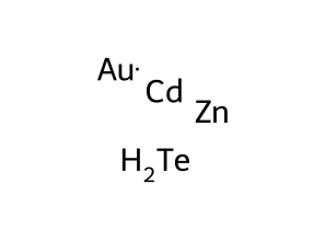 [Au].[Cd].[TeH2].[Zn]